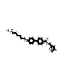 CCCCCCCOc1ccc(-c2ccc(C(=O)OCc3ccco3)cc2)cc1